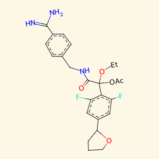 CCOC(OC(C)=O)(C(=O)NCc1ccc(C(=N)N)cc1)c1c(F)cc(C2CCCO2)cc1F